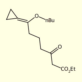 CCCCOC(CCCC(=O)CC(=O)OCC)=C1CC1